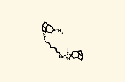 CC1CC2CC3CC(N=C=NCCCCCN=C=NC4(C)CC5CC6CC(C4)C65)(C1)C23